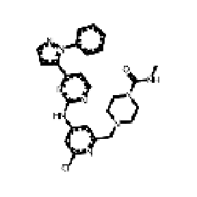 CNC(=O)N1CCN(Cc2cc(Nc3nccc(-c4ccnn4-c4ccccc4)n3)cc(Cl)n2)CC1